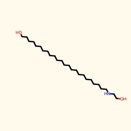 OCCCCCCCCCCCCCCCCCCCCCCCCNCCO